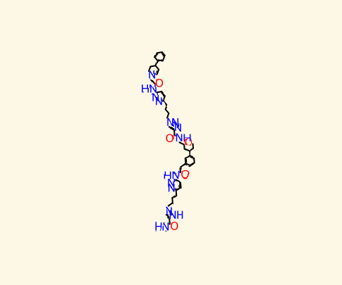 CNC(=O)c1cn(CCCCc2ccc(NC(=O)Cc3cccc(C4CCOC(CNC(=O)c5cn(CCCCc6ccc(NC(=O)CN7CCC(c8ccccc8)CC7)nn6)nn5)C4)c3)nn2)[nH]1